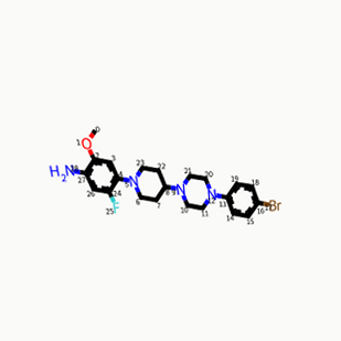 COc1cc(N2CCC(N3CCN(c4ccc(Br)cc4)CC3)CC2)c(F)cc1N